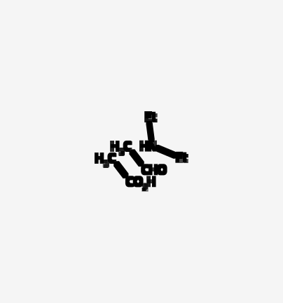 CC(=O)O.CC=O.CCNCC